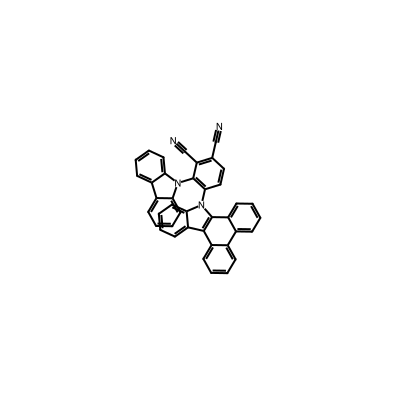 N#Cc1ccc(-n2c3ccccc3c3c4ccccc4c4ccccc4c32)c(-n2c3ccccc3c3ccccc32)c1C#N